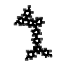 Cc1ccc(-c2cc(-c3ccc(-c4ccc(-n5c6ccccc6c6cc(N(c7ccc(C)cc7)c7ccc(C)cc7)ccc65)cc4)cc3)nc(-c3ccc(C)cc3)n2)cc1